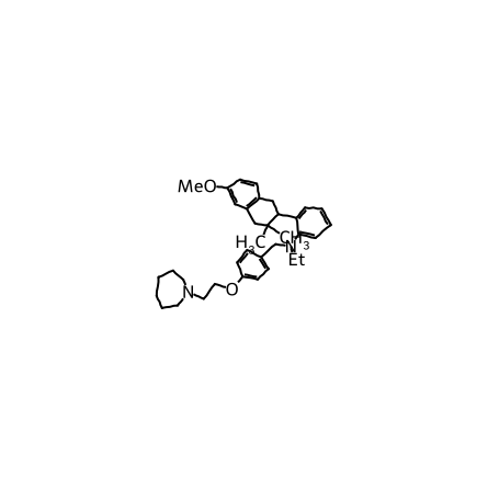 CCN(Cc1ccc(OCCN2CCCCCC2)cc1)c1ccccc1C1Cc2ccc(OC)cc2CC1(C)C